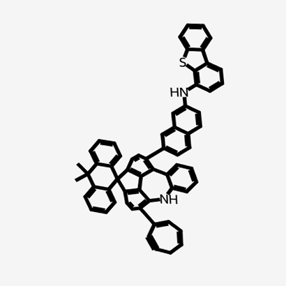 CC1(C)c2ccccc2C2(c3ccccc31)c1ccc(C3=CC=CCC#C3)c3c1-c1c2ccc(-c2ccc4ccc(Nc5cccc6c5sc5ccccc56)cc4c2)c1-c1ccccc1N3